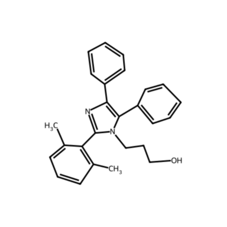 Cc1cccc(C)c1-c1nc(-c2ccccc2)c(-c2ccccc2)n1CCCO